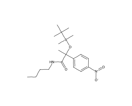 CCCCNC(=O)C(C)(O[Si](C)(C)C(C)(C)C)c1ccc([N+](=O)[O-])cc1